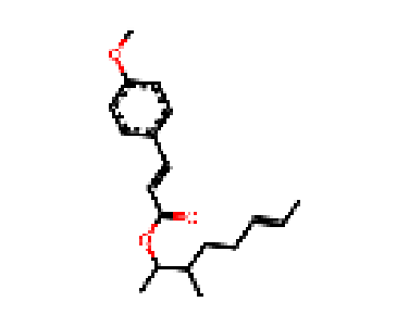 CC=CCCC(C)C(C)OC(=O)C=Cc1ccc(OC)cc1